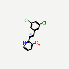 COc1cccnc1/C=C/c1cc(Cl)cc(Cl)c1